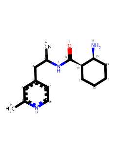 Cc1cc(CC(C#N)NC(=O)[C@@H]2CCCC[C@@H]2N)ccn1